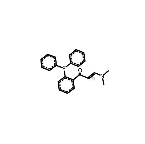 CN(C)/C=C/C(=O)c1ccccc1P(c1ccccc1)c1ccccc1